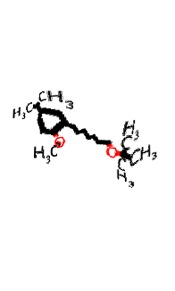 COc1ccc(C(C)C)cc1CCCCCCCOC(C)(C)C